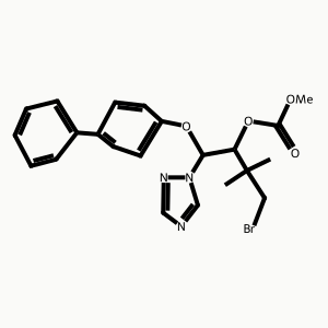 COC(=O)OC(C(Oc1ccc(-c2ccccc2)cc1)n1cncn1)C(C)(C)CBr